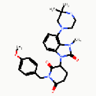 COc1ccc(CN2C(=O)CCC(n3c(=O)n(C)c4c(N5CCNC(C)(C)C5)cccc43)C2=O)cc1